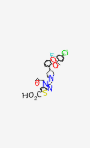 CC1(c2ccc(Cl)cc2F)Oc2cccc(C3CCN(Cc4nc5sc(C(=O)O)cc5n4C[C@@H]4CCO4)CC3)c2O1